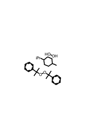 CC(C)(OOC(C)(C)c1ccccc1)c1ccccc1.CC1CCC(C(C)C)CC1.OO